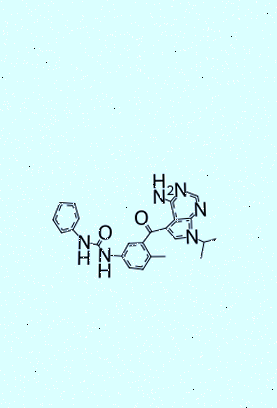 Cc1ccc(NC(=O)Nc2ccccc2)cc1C(=O)c1cn(C(C)C)c2ncnc(N)c12